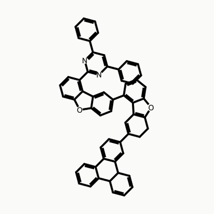 C1=CC2c3ccccc3-c3ccc(C4=Cc5c(oc6cccc(-c7ccc8oc9cccc(-c%10nc(-c%11ccccc%11)cc(-c%11ccccc%11)n%10)c9c8c7)c56)CC4)cc3C2C=C1